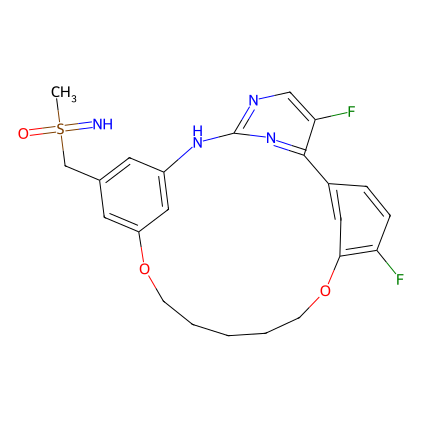 CS(=N)(=O)Cc1cc2cc(c1)OCCCCCOc1cc(ccc1F)-c1nc(ncc1F)N2